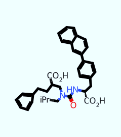 CC(C)CN(CC(CCc1ccccc1)C(=O)O)C(=O)N[C@@H](Cc1ccc(-c2ccc3ccccc3c2)cc1)C(=O)O